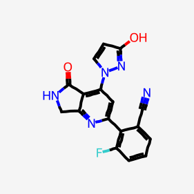 N#Cc1cccc(F)c1-c1cc(-n2ccc(O)n2)c2c(n1)CNC2=O